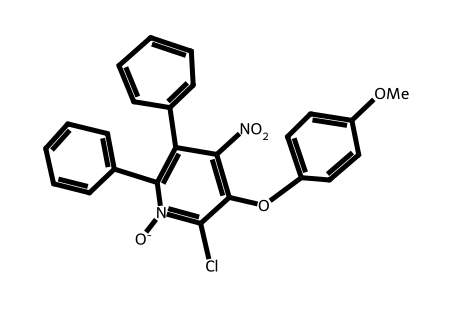 COc1ccc(Oc2c([N+](=O)[O-])c(-c3ccccc3)c(-c3ccccc3)[n+]([O-])c2Cl)cc1